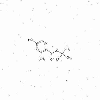 Cc1cc(O)ccc1C(=O)OC(C)(C)C